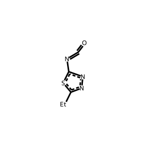 CCc1nnc(N=C=O)s1